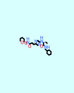 CC[C@@H](Nc1cnc(C=CC(=O)NOC2CCCCO2)cn1)C(=O)NCC1CCCCC1